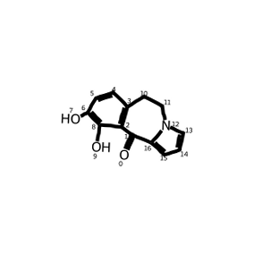 O=C1c2c(ccc(O)c2O)CCn2cccc21